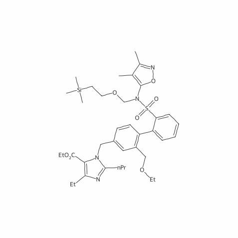 CCCc1nc(CC)c(C(=O)OCC)n1Cc1ccc(-c2ccccc2S(=O)(=O)N(COCC[Si](C)(C)C)c2onc(C)c2C)c(COCC)c1